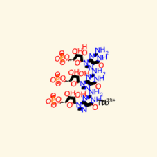 Nc1nc2c(ncn2[C@@H]2O[C@H](COP(=O)([O-])[O-])[C@@H](O)[C@H]2O)c(=O)[nH]1.Nc1nc2c(ncn2[C@@H]2O[C@H](COP(=O)([O-])[O-])[C@@H](O)[C@H]2O)c(=O)[nH]1.Nc1nc2c(ncn2[C@@H]2O[C@H](COP(=O)([O-])[O-])[C@@H](O)[C@H]2O)c(=O)[nH]1.[Tb+3].[Tb+3]